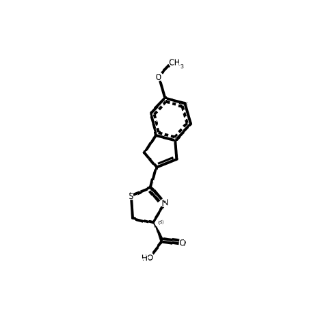 COc1ccc2c(c1)CC(C1=N[C@@H](C(=O)O)CS1)=C2